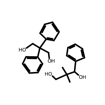 CC(C)(CO)C(O)c1ccccc1.OCC(CO)(c1ccccc1)c1ccccc1